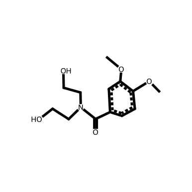 COc1ccc(C(=O)N(CCO)CCO)cc1OC